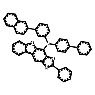 c1ccc(-c2ccc(N(c3cccc(-c4ccc5ccccc5c4)c3)c3c4oc(-c5ccccc5)nc4cc4c3oc3ccccc34)cc2)cc1